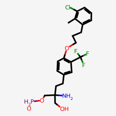 Cc1c(Cl)cccc1CCCOc1ccc(CCC(N)(CO)CO[PH2]=O)cc1C(F)(F)F